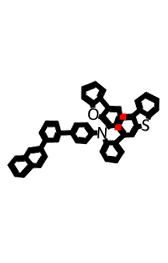 c1cc(-c2ccc(N(c3ccccc3-c3ccc4c(c3)sc3ccccc34)c3cccc4c3oc3ccccc34)cc2)cc(-c2ccc3ccccc3c2)c1